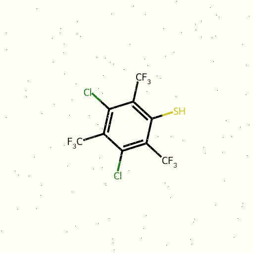 FC(F)(F)c1c(S)c(C(F)(F)F)c(Cl)c(C(F)(F)F)c1Cl